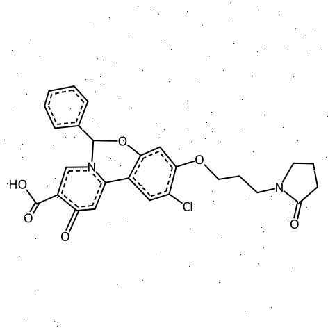 O=C(O)c1cn2c(cc1=O)-c1cc(Cl)c(OCCCN3CCCC3=O)cc1OC2c1ccccc1